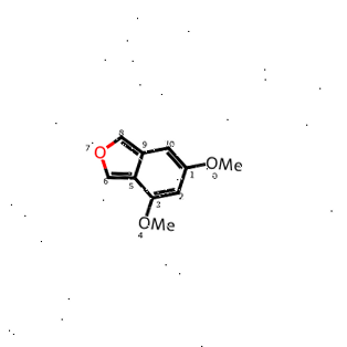 COc1cc(OC)c2cocc2c1